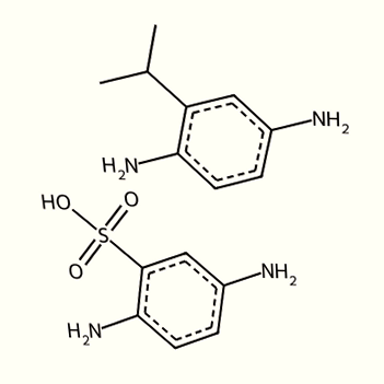 CC(C)c1cc(N)ccc1N.Nc1ccc(N)c(S(=O)(=O)O)c1